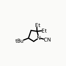 CCC1(CC)CC(C(C)(C)C)CN1C#N